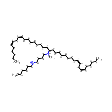 CCCCC/C=C\C/C=C\CCCCCCCCC(CCCCCCCC/C=C\C/C=C\CCCCC)N(C)CCCCNCCCCCC